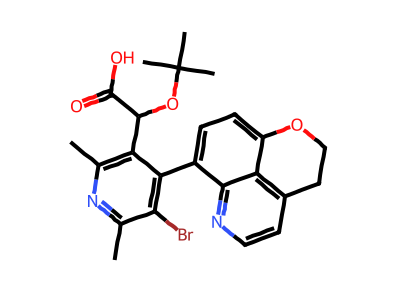 Cc1nc(C)c(C(OC(C)(C)C)C(=O)O)c(-c2ccc3c4c(ccnc24)CCO3)c1Br